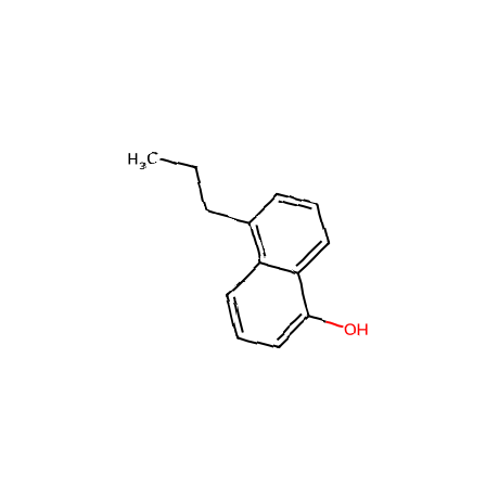 CCCc1cccc2c(O)cccc12